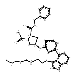 COCCCNCCCc1nnc2cccc(-c3cccc(O[C@H]4C[C@@H](C(=O)O)N(C(=O)OCc5ccccc5)C4)c3)n12